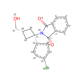 O=C1c2ccccc2C(=O)N1[C@]1(c2ccc(Br)cc2)C[C@@H](CO)C1